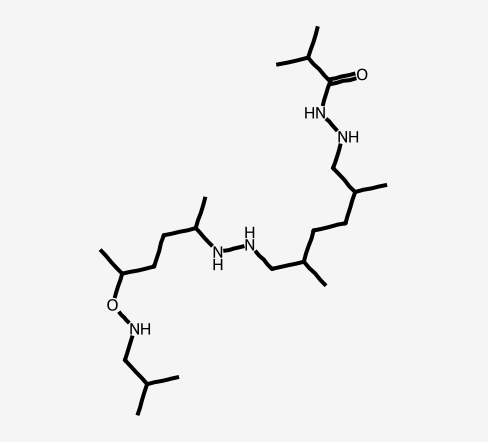 CC(C)CNOC(C)CCC(C)NNCC(C)CCC(C)CNNC(=O)C(C)C